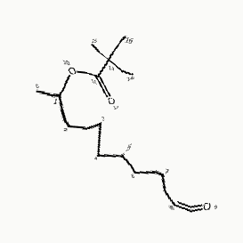 CC(CCCCCCC=O)OC(=O)C(C)(C)C